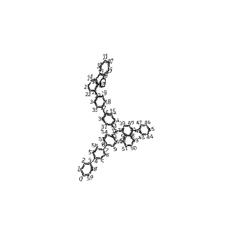 c1ccc(-c2ccc(-c3ccc(C(c4ccc(-c5ccc(-c6cccc7c6oc6ccccc67)cc5)cc4)c4ccc(-c5ccccc5)c5ccccc45)cc3)cc2)cc1